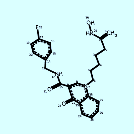 C=C(CCCCCn1cc(C(=O)NCc2ccc(F)cc2)c(=O)c2ccccc21)NO